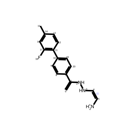 C=C(NN/C=C\N)c1ccc(-c2ccc(C)cc2F)cc1